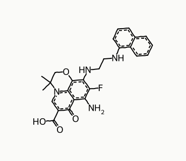 CC1(C)COc2c(NCCNc3cccc4ccccc34)c(F)c(N)c3c(=O)c(C(=O)O)cn1c23